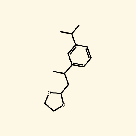 CC(C)c1cccc(C(C)CC2OCCO2)c1